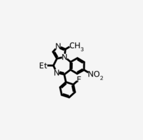 CCC1N=C(c2ccccc2F)c2cc([N+](=O)[O-])ccc2-n2c1cnc2C